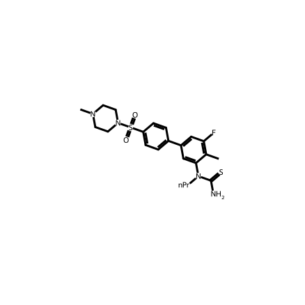 CCCN(C(N)=S)c1cc(-c2ccc(S(=O)(=O)N3CCN(C)CC3)cc2)cc(F)c1C